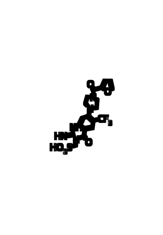 N=C(N)N(CS(=O)(=O)O)C(=O)c1ccc(N2CCN(C(=O)c3ccco3)CC2)c(C(F)(F)F)c1